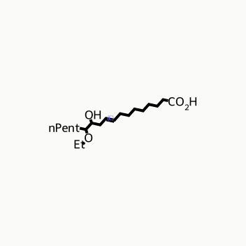 CCCCCC(OCC)C(O)C/C=C/CCCCCCCC(=O)O